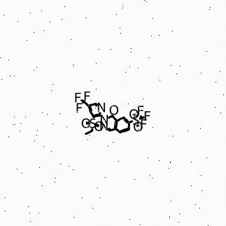 CCS(=O)(=O)c1cc(C(F)(F)F)cnc1-n1ncc2ccc(S(=O)(=O)C(F)(F)F)cc2c1=O